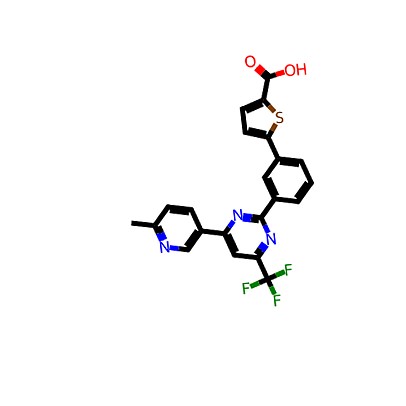 Cc1ccc(-c2cc(C(F)(F)F)nc(-c3cccc(-c4ccc(C(=O)O)s4)c3)n2)cn1